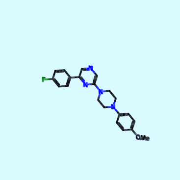 COc1ccc(N2CCN(c3cncc(-c4ccc(F)cc4)n3)CC2)cc1